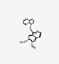 COc1cc2ccnc(Cc3cccc4ncccc34)c2cc1OC